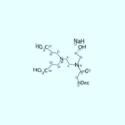 CCCCCCCCCCCC(=O)N(CCO)CCN(CCC(=O)O)CCC(=O)O.[NaH]